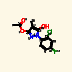 CC(=O)Oc1nn(-c2ccc(F)cc2Cl)c(O)c1C